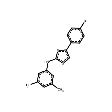 Cc1cc(C)cc(Nc2nc(-c3ccc(Br)cc3)cs2)c1